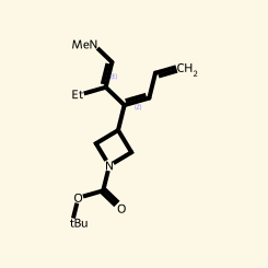 C=C/C=C(\C(=C\NC)CC)C1CN(C(=O)OC(C)(C)C)C1